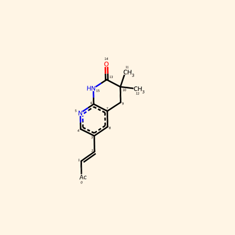 CC(=O)/C=C/c1cnc2c(c1)CC(C)(C)C(=O)N2